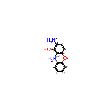 Nc1ccc(Oc2ccccc2)c(N)c1O